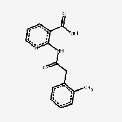 Cc1ccccc1CC(=O)Nc1ncccc1C(=O)O